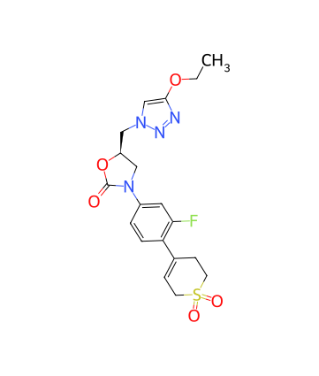 CCOc1cn(C[C@H]2CN(c3ccc(C4=CCS(=O)(=O)CC4)c(F)c3)C(=O)O2)nn1